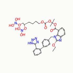 CCOc1nc2cccc(C(=O)OC(C)(C)OC(=O)OCCCCC(CON(O)O)ON(O)O)c2n1Cc1ccc(-c2ccccc2-c2nnn[nH]2)cc1